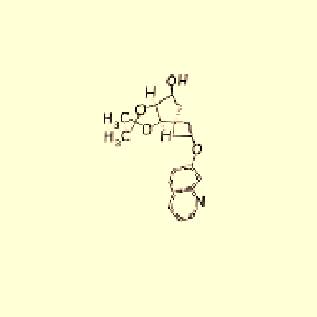 CC1(C)O[C@H]2[C@@H](O)C[C@]3(C[C@H](Oc4ccc5cccnc5c4)C3)[C@H]2O1